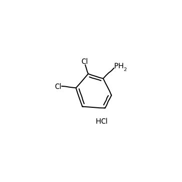 Cl.Pc1cccc(Cl)c1Cl